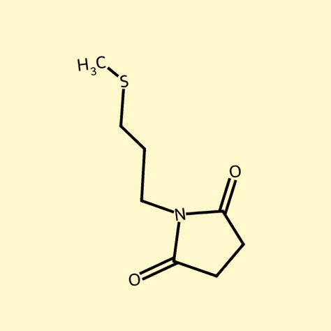 CSCCCN1C(=O)CCC1=O